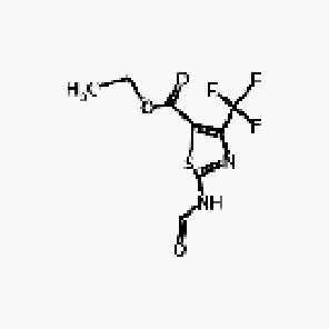 CCOC(=O)c1sc(NC=O)nc1C(F)(F)F